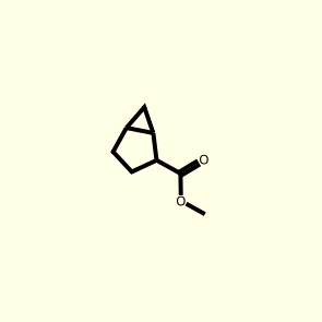 COC(=O)C1CCC2CC21